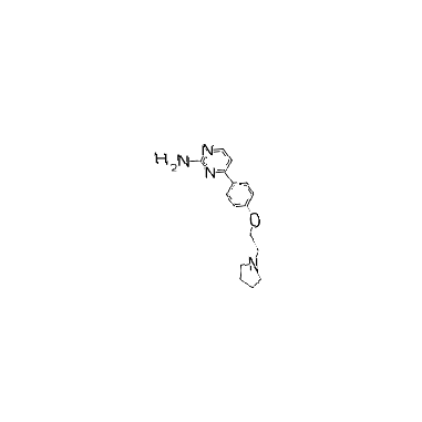 Nc1nccc(-c2ccc(OCCN3CCCC3)cc2)n1